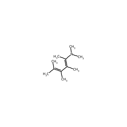 CC(C)=C(C)C(C)=C(C)N(C)C